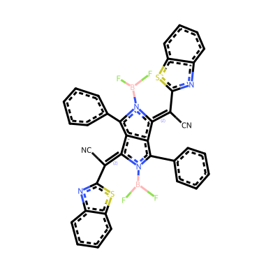 N#C/C(c1nc2ccccc2s1)=c1\c2c(-c3ccccc3)n(B(F)F)/c(=C(/C#N)c3nc4ccccc4s3)c2c(-c2ccccc2)n1B(F)F